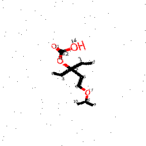 CCC(CC)(CCOC(C)C)OC(=O)O